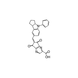 O=C(O)c1cnc2c(n1)C(=O)/C(=C\c1ccc3c(c1)C1CCCC1N3c1ccccc1)C2=O